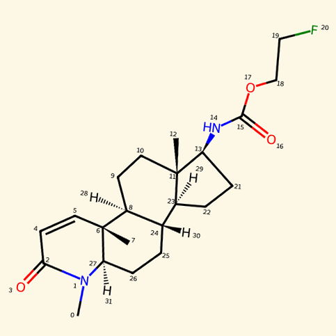 CN1C(=O)C=C[C@]2(C)[C@H]3CC[C@]4(C)[C@@H](NC(=O)OCCF)CC[C@H]4[C@@H]3CC[C@@H]12